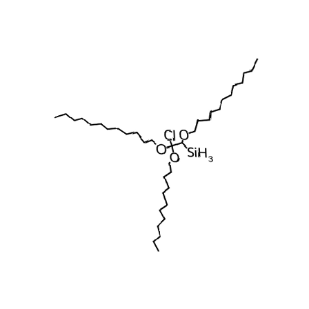 CCCCCCCCCCCCOC([SiH3])C(Cl)(OCCCCCCCCCCCC)OCCCCCCCCCCCC